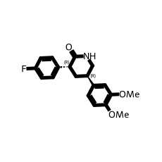 COc1ccc([C@@H]2CNC(=O)[C@@H](c3ccc(F)cc3)C2)cc1OC